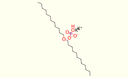 CCCCCCCCCCCCOCCCCCCCCCCCC.O=P([O-])([O-])O.[K+].[K+]